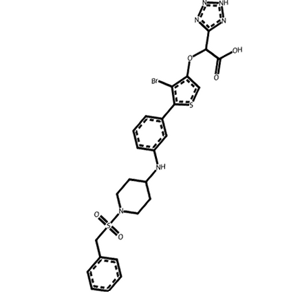 O=C(O)C(Oc1csc(-c2cccc(NC3CCN(S(=O)(=O)Cc4ccccc4)CC3)c2)c1Br)c1nn[nH]n1